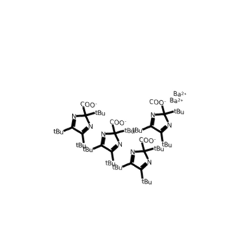 CC(C)(C)C1=NC(C(=O)[O-])(C(C)(C)C)N=C1C(C)(C)C.CC(C)(C)C1=NC(C(=O)[O-])(C(C)(C)C)N=C1C(C)(C)C.CC(C)(C)C1=NC(C(=O)[O-])(C(C)(C)C)N=C1C(C)(C)C.CC(C)(C)C1=NC(C(=O)[O-])(C(C)(C)C)N=C1C(C)(C)C.[Ba+2].[Ba+2]